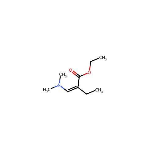 CCOC(=O)/C(=C\N(C)C)CC